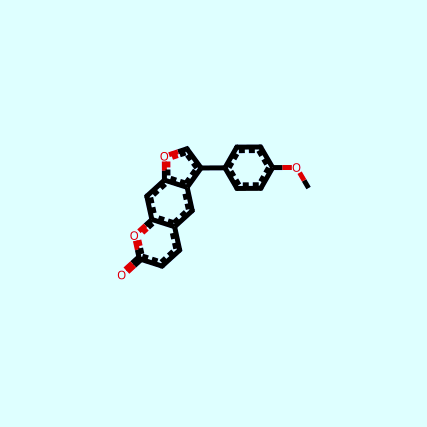 COc1ccc(-c2coc3cc4oc(=O)ccc4cc23)cc1